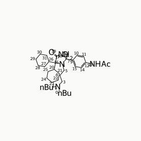 CCCCN(CCCC)CCCN(C(=O)c1ccc(NC(C)=O)cc1)C(C(N)=O)(C1CCCCC1)C1CCCCC1